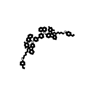 C=Cc1ccc(OCCCCCCC2(c3ccc(C)cc3C)c3ccccc3-c3ccc(N(c4ccc(-c5ccc(N(c6ccc7c(c6)C(CCCCCCOc6ccc(C=C)cc6)(c6ccc(C)cc6C)c6ccccc6-7)c6cccc7ccccc67)cc5)cc4)c4cccc5ccccc45)cc32)cc1